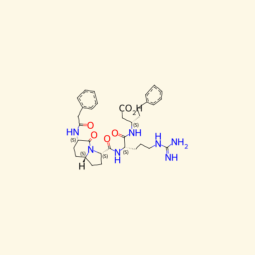 N=C(N)NCCC[C@H](NC(=O)[C@@H]1CC[C@@H]2CC[C@H](NC(=O)Cc3ccccc3)C(=O)N21)C(=O)N[C@@H](CCc1ccccc1)CC(=O)O